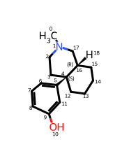 CN1CC[C@@]2(c3cccc(O)c3)CCCC[C@H]2C1